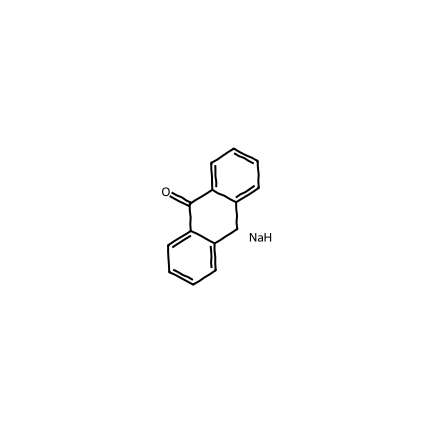 O=C1c2ccccc2Cc2ccccc21.[NaH]